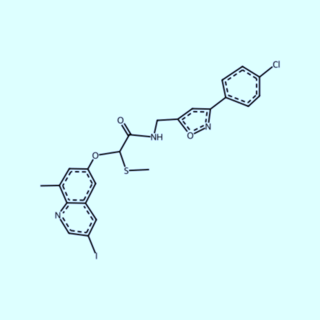 CSC(Oc1cc(C)c2ncc(I)cc2c1)C(=O)NCc1cc(-c2ccc(Cl)cc2)no1